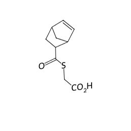 O=C(O)CSC(=O)C1CC2C=CC1C2